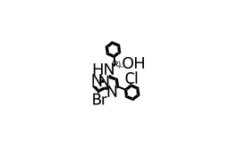 OC[C@H](Nc1cc(-c2ccccc2Cl)nc2c(Br)cnn12)c1ccccc1